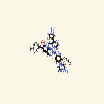 C=C(c1cc2cnc(Nc3ccc(N4CCNCC4)c(C)c3)nc2n(Cc2nccnc2C2CCNC2)c1=O)C(C)C